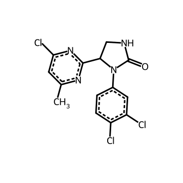 Cc1cc(Cl)nc(C2CNC(=O)N2c2ccc(Cl)c(Cl)c2)n1